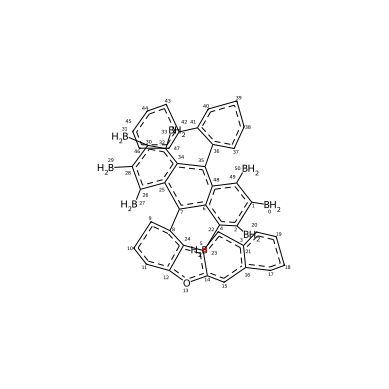 Bc1c(B)c(B)c2c(-c3cccc4oc5cc6ccccc6cc5c34)c3c(B)c(B)c(B)c(B)c3c(-c3ccccc3-c3ccccc3)c2c1B